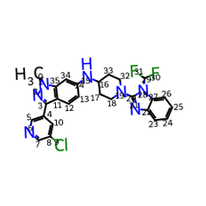 Cn1nc(-c2cncc(Cl)c2)c2ccc(NC3CCN(c4nc5ccccc5n4C(F)F)CC3)cc21